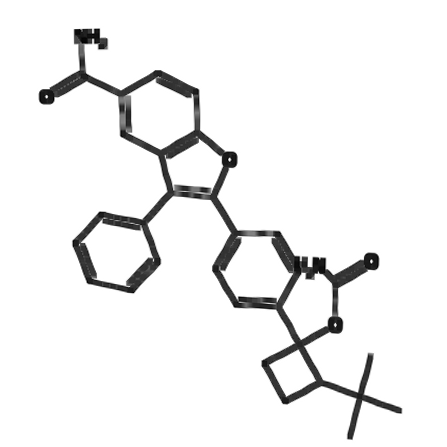 CC(C)(C)C1CCC1(OC(N)=O)c1ccc(-c2oc3ccc(C(N)=O)cc3c2-c2ccccc2)cc1